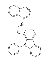 c1ccc(-n2c3ccccc3c3ccc4c(ccn4-c4cncc5ccccc45)c32)cc1